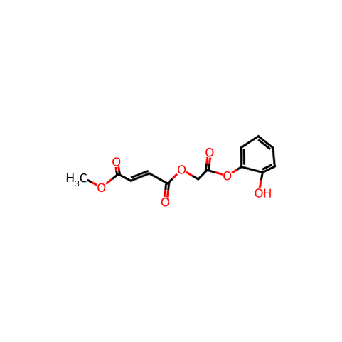 COC(=O)C=CC(=O)OCC(=O)Oc1ccccc1O